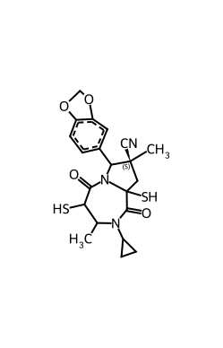 CC1C(S)C(=O)N2C(c3ccc4c(c3)OCO4)[C@@](C)(C#N)CC2(S)C(=O)N1C1CC1